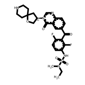 CCN(C)S(=O)(=O)Nc1ccc(F)c(C(=O)c2ccc3ncn([C@H]4COC5(CCNCC5)C4)c(=O)c3c2)c1F